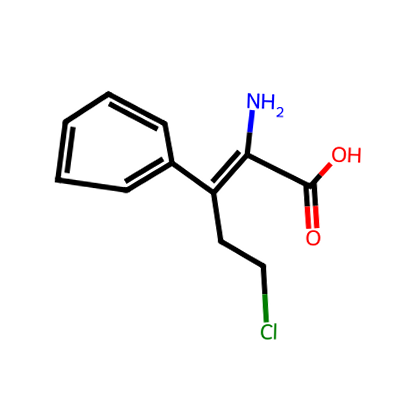 NC(C(=O)O)=C(CCCl)c1ccccc1